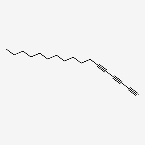 [C]#CC#CC#CCCCCCCCCCCC